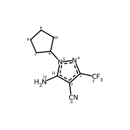 N#Cc1c(C(F)(F)F)nn(C2CCCC2)c1N